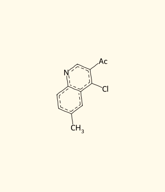 CC(=O)c1cnc2ccc(C)cc2c1Cl